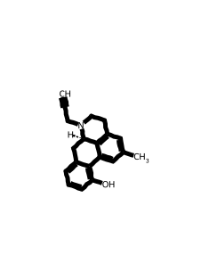 C#CCN1CCc2cc(C)cc3c2[C@H]1Cc1cccc(O)c1-3